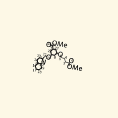 COC(=O)CCCOc1cc(OCc2ccc3ccccc3n2)cc(C(=O)OC)c1